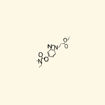 CCOC(=O)CCn1cnc2cc(OC(=O)N(C)CC)ccc21